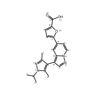 Cc1nn(C(C)C)c(C)c1-c1cnn2ccc(-c3ccc(C(=O)O)o3)cc12